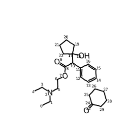 CCN(CC)CCOC(=O)C(c1ccccc1)C1(O)CCCC1.O=C1CCCCC1